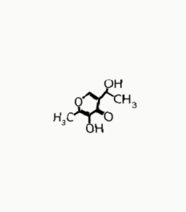 Cc1occ(C(C)O)c(=O)c1O